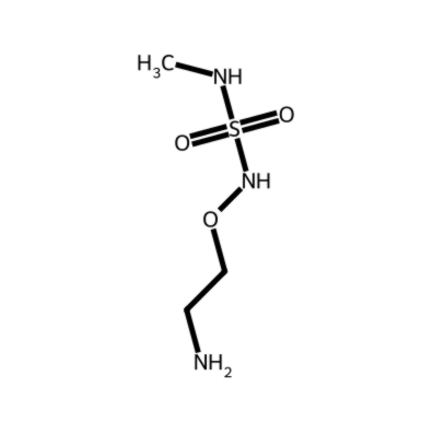 CNS(=O)(=O)NOCCN